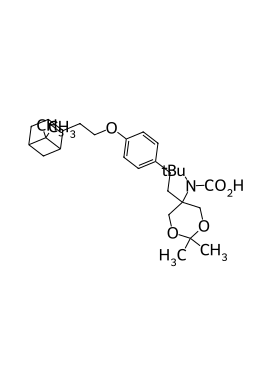 CC1(C)OCC(CCc2ccc(OCCC3=CCC4CC3C4(C)C)cc2)(N(C(=O)O)C(C)(C)C)CO1